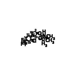 CC(C)(C)NC(=O)O[C@@H]1CCN(c2ccc(C(F)(F)F)cc2Cl)C1